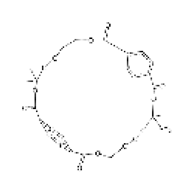 CC1(C)CCCCOC(=O)c2ccc(cc2)C(=O)OC(C)(N)CCCCOC(=O)c2ccc(cc2)C(=O)O1